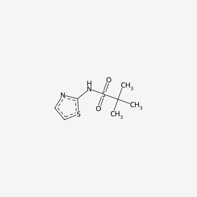 CC(C)(C)S(=O)(=O)Nc1nccs1